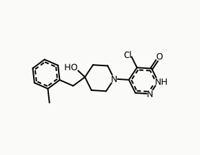 Cc1ccccc1CC1(O)CCN(c2cn[nH]c(=O)c2Cl)CC1